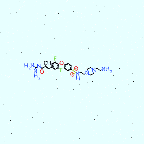 C/C(=C\c1cc(F)c(Oc2ccc(S(=O)(=O)NCCN3CCN(CCN)CC3)cc2)c(F)c1)C(=O)N=C(N)N